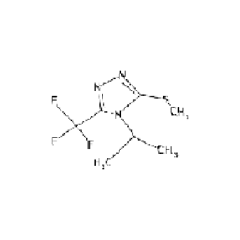 CSc1nnc(C(F)(F)F)n1C(C)C